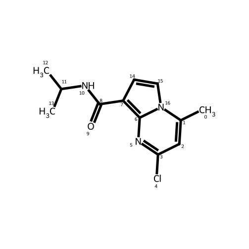 Cc1cc(Cl)nc2c(C(=O)NC(C)C)ccn12